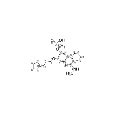 CNc1nc2cc(OCCCN3CCCC3)c(OC)cc2c2c1CCCC2.O=CO